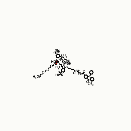 COCCOCCOCCOCCOCC[N+]1=C(/C=C/C=C2/N(CCCCCC(=O)NCCNC(=O)c3ccc(C(=O)OC)c(P(c4ccccc4)c4ccccc4)c3)c3ccc(S(=O)(=O)O)cc3C2(C)CCCS(=O)(=O)O)C(C)(CCCS(=O)(=O)O)c2cc(S(=O)(=O)O)ccc21